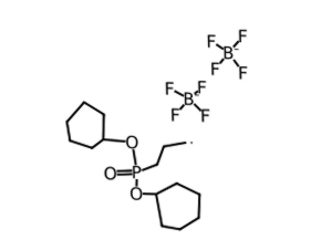 F[B-](F)(F)F.F[B-](F)(F)F.[CH2]CCP(=O)(OC1CCCCC1)OC1CCCCC1